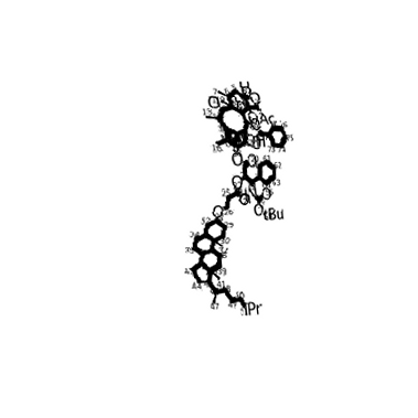 CC(=O)O[C@@]12CO[C@@H]1C[C@H](C)[C@@]1(C)C(=O)[C@H](C)C3=C(C)[C@@H](OC(=O)C(OC(=O)CCO[C@H]4CC[C@@]5(C)C(=CCC6C5CC[C@@]5(C)C6CC[C@@H]5[C@H](C)CCCC(C)C)C4)[C@@H](NC(=O)OC(C)(C)C)c4ccccc4)C[C@@](O)([C@@H](OC(=O)c4ccccc4)[C@H]21)C3(C)C